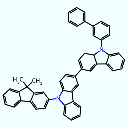 CC1(C)c2ccccc2-c2ccc(-n3c4ccccc4c4cc(C5=CCC6C(=C5)c5ccccc5N6c5cccc(-c6ccccc6)c5)ccc43)cc21